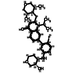 CC(C)n1c(CN2[C@@H](C)COC[C@@H]2C)cc(=O)c2ccc(-c3nc(N[C@@H]4CCOC[C@H]4O)ncc3F)cc21